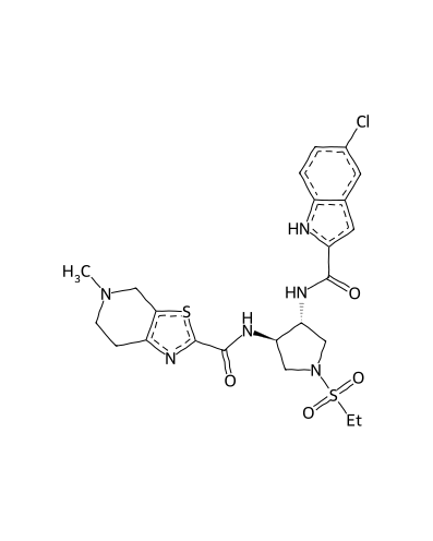 CCS(=O)(=O)N1C[C@@H](NC(=O)c2cc3cc(Cl)ccc3[nH]2)[C@H](NC(=O)c2nc3c(s2)CN(C)CC3)C1